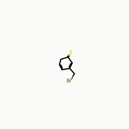 S=C1C=C(CBr)C=CC1